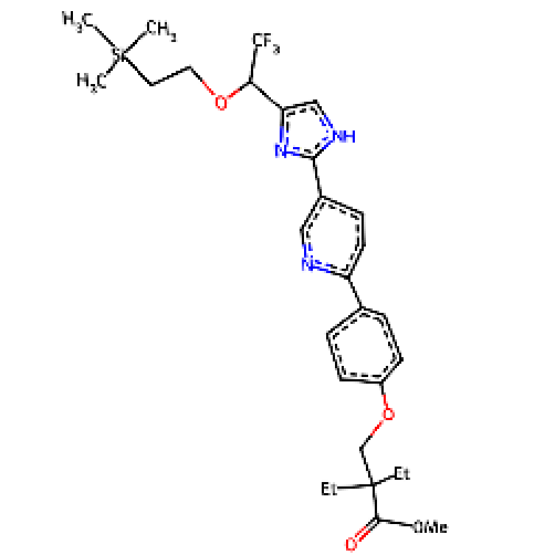 CCC(CC)(COc1ccc(-c2ccc(-c3nc(C(OCC[Si](C)(C)C)C(F)(F)F)c[nH]3)cn2)cc1)C(=O)OC